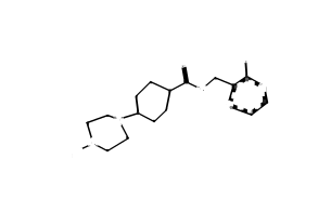 CN1CCN(C2CCC(C(=O)NCc3nccnc3Cl)CC2)CC1